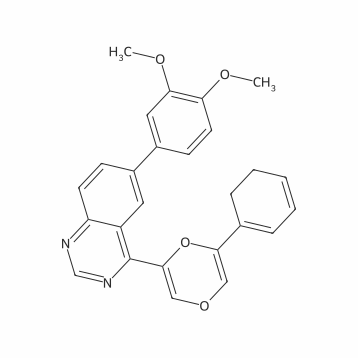 COc1ccc(-c2ccc3ncnc(C4=COC=C(C5=CC=CCC5)O4)c3c2)cc1OC